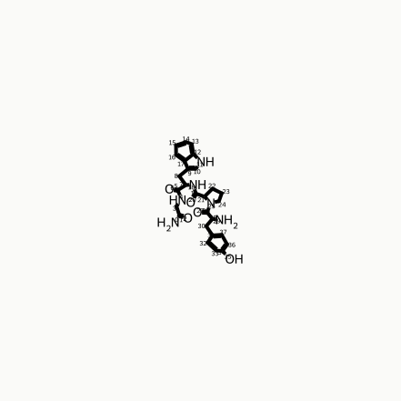 NC(=O)CNC(=O)C(Cc1c[nH]c2ccccc12)NC(=O)C1CCCN1C(=O)C(N)Cc1ccc(O)cc1